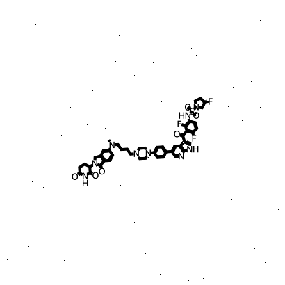 CN(CCCCN1CCN(c2ccc(-c3cnc4[nH]cc(C(=O)c5c(F)ccc(NS(=O)(=O)N6CC[C@@H](F)C6)c5F)c4c3)cc2)CC1)c1ccc2c(c1)CN(C1CCC(=O)NC1=O)C2=O